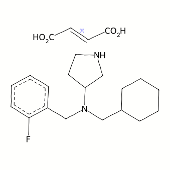 Fc1ccccc1CN(CC1CCCCC1)C1CCNC1.O=C(O)/C=C/C(=O)O